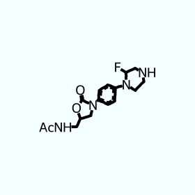 CC(=O)NCC1CN(c2ccc(N3CCNCC3F)cc2)C(=O)O1